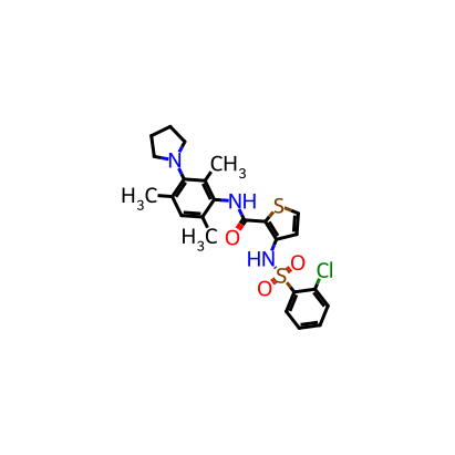 Cc1cc(C)c(N2CCCC2)c(C)c1NC(=O)c1sccc1NS(=O)(=O)c1ccccc1Cl